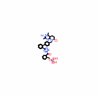 C=C(C)/N=C1\C(=C(\C)N)CCC(=O)N1Cc1ccc(-c2ccccc2-c2nnn(C(=O)c3ccccc3CON(O)O)n2)cc1